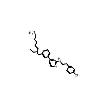 CCN(CCCCCN)Cc1cccc(-c2ccnc(NCCc3ccc(O)cc3)n2)c1